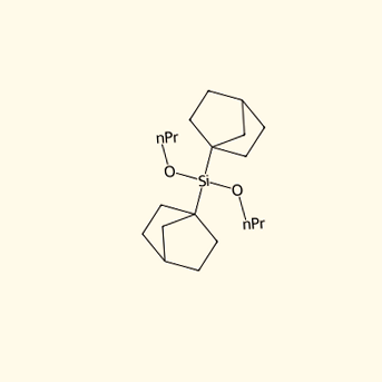 CCCO[Si](OCCC)(C12CCC(CC1)C2)C12CCC(CC1)C2